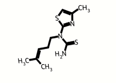 CC(C)=CCCN(C(N)=S)c1nc(C)cs1